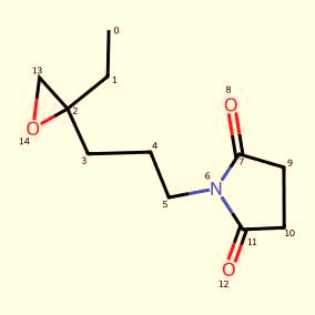 CCC1(CCCN2C(=O)CCC2=O)CO1